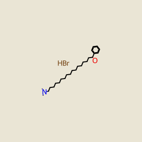 Br.CN(C)CCCCCCCCCCCCCCCCC(=O)c1ccccc1